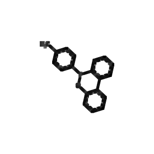 Cc1ccc(P2Oc3ccccc3-c3ccccc32)cc1